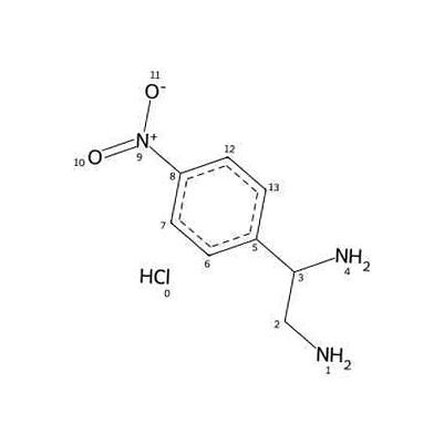 Cl.NCC(N)c1ccc([N+](=O)[O-])cc1